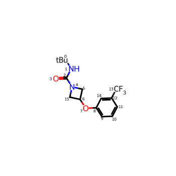 CC(C)(C)NC(=O)N1CC(Oc2cccc(C(F)(F)F)c2)C1